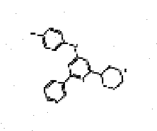 Cc1ccc(Nc2cc(-c3ccncc3)nc(C3CCCNC3)n2)cc1